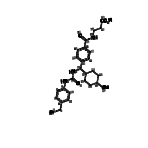 CC(C)Cc1ccc(NC(=O)NC(c2ccc(C(=O)NCCC(=O)O)cc2)C2CCC(C(C)(C)C)CC2)cc1